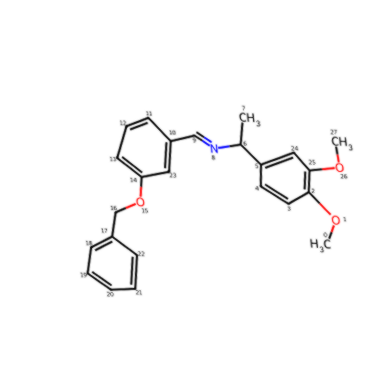 COc1ccc(C(C)N=Cc2cccc(OCc3ccccc3)c2)cc1OC